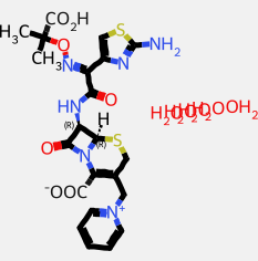 CC(C)(ON=C(C(=O)N[C@@H]1C(=O)N2C(C(=O)[O-])=C(C[n+]3ccccc3)CS[C@H]12)c1csc(N)n1)C(=O)O.O.O.O.O.O